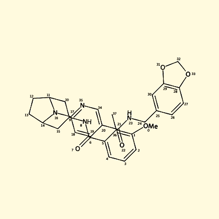 COc1cccc(C(=O)NC2CC3CCC(C2)N3c2ccc(C(=O)NCc3ccc4c(c3)OCO4)cn2)c1C